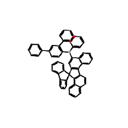 c1ccc(-c2ccc(N(c3ccccc3)c3cc4c(c5ccccc35)-c3ccc5ccccc5c3C43c4ccccc4-c4ccccc43)c(-c3ccccc3)c2)cc1